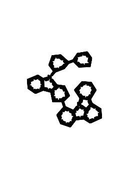 c1ccc(-c2cccc(-n3c4ccccc4c4cc(-c5cccc6c7cccc8c9ccccc9n(c56)c87)ccc43)c2)cc1